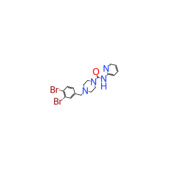 O=C(Nc1ccccn1)N1CCN(Cc2ccc(Br)c(Br)c2)CC1